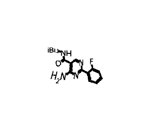 CCC(C)NC(=O)c1cnc(-c2ccccc2F)nc1N